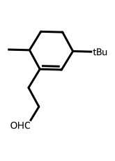 CC1CCC(C(C)(C)C)C=C1CCC=O